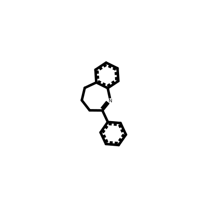 c1ccc(C2=Nc3ccccc3CCC2)cc1